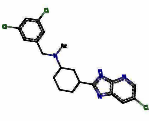 CC(=O)N(Cc1cc(Cl)cc(Cl)c1)C1CCCC(c2nc3cc(Cl)cnc3[nH]2)C1